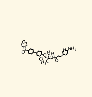 CC(C)(CNC(=O)C=Cc1ccc(N)nc1)COc1ccc(-c2ccc(C(=O)N3CCOCC3)cc2)cc1Cl